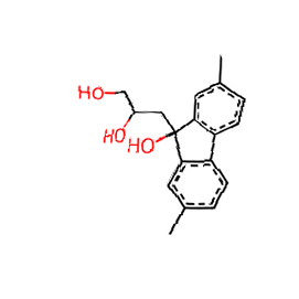 Cc1ccc2c(c1)C(O)(CC(O)CO)c1cc(C)ccc1-2